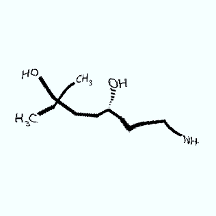 CC(C)(O)C[C@H](O)CC[NH]